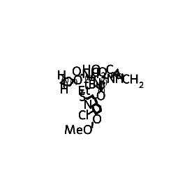 C=C[C@@H]1C[C@]1(NC(=O)[C@@H]1C[C@@H](Oc2cc(SCC)nc3c(Cl)c(OCCOC)ccc23)CN1C(=O)[C@@H](NC(=O)O[C@@H]1C[C@@H]2C[C@@H]2C1)C(C)(C)C)C(=O)O